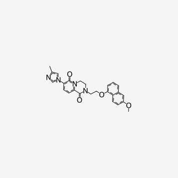 COc1ccc2c(OCCN3CCn4c(ccc(-n5cnc(C)c5)c4=O)C3=O)cccc2c1